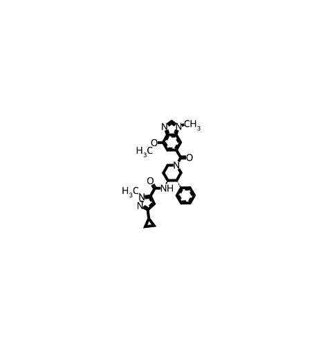 COc1cc(C(=O)N2CC[C@@H](NC(=O)c3cc(C4CC4)nn3C)[C@@H](c3ccccc3)C2)cc2c1ncn2C